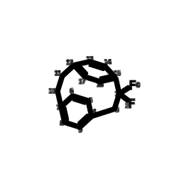 FC1(F)Cc2ccc(cc2)CCc2ccc1cc2